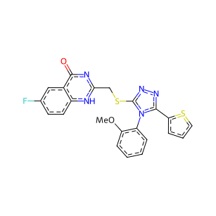 COc1ccccc1-n1c(SCc2nc(=O)c3cc(F)ccc3[nH]2)nnc1-c1cccs1